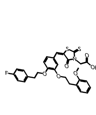 COc1ccccc1CCOc1cc(C=C2SC(=S)N(CC(=O)O)C2=O)ccc1OCCc1ccc(F)cc1